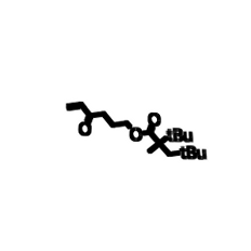 C=CC(=O)CCCOC(=O)C(C)(CC(C)(C)C)C(C)(C)C